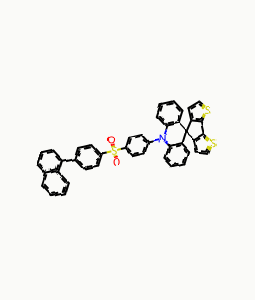 O=S(=O)(c1ccc(-c2cccc3ccccc23)cc1)c1ccc(N2c3ccccc3C3(c4ccccc42)c2ccsc2-c2sccc23)cc1